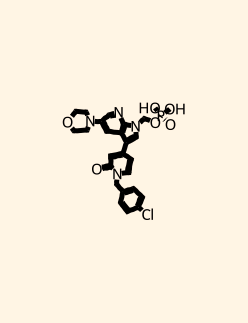 O=c1cc(-c2cn(COP(=O)(O)O)c3ncc(N4CCOCC4)cc23)ccn1Cc1ccc(Cl)cc1